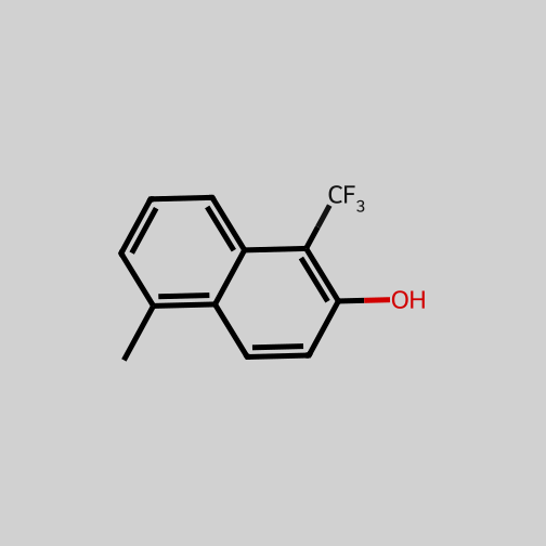 Cc1cccc2c(C(F)(F)F)c(O)ccc12